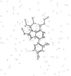 CCCOc1nnc(-c2ccc(Cl)cc2Cl)c2nc(CC)n(C(CC)CC)c12